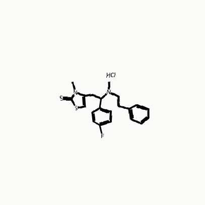 CN(CCc1ccccc1)C(Cc1csc(=S)n1C)c1ccc(F)cc1.Cl